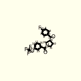 O=C(c1ccc(F)cc1)[C@H]1CCN(C(=O)c2cccc(OC(F)(F)F)c2)C1